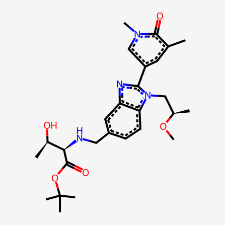 CO[C@H](C)Cn1c(-c2cc(C)c(=O)n(C)c2)nc2cc(CN[C@@H](C(=O)OC(C)(C)C)[C@@H](C)O)ccc21